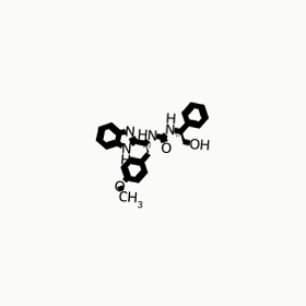 COc1ccc(C[C@@H](NC(=O)N[C@H](CO)c2ccccc2)c2nc3ccccc3[nH]2)cc1